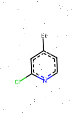 C[CH]c1ccnc(Cl)c1